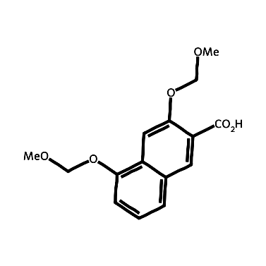 COCOc1cc2c(OCOC)cccc2cc1C(=O)O